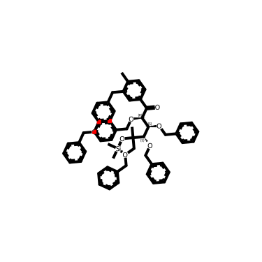 Cc1ccc(C(=O)[C@H](OCc2ccccc2)[C@@H](OCc2ccccc2)[C@H](OCc2ccccc2)C(C)(COCc2ccccc2)O[Si](C)(C)C)cc1Cc1ccc(OCc2ccccc2)cc1